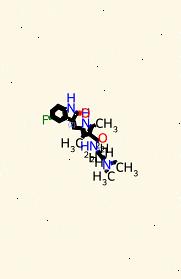 [2H]C([2H])(NC(=O)c1c(C)[nH]c(/C=C2\C(=O)Nc3ccc(F)cc32)c1C)C([2H])([2H])N(CC)CC